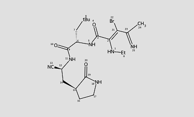 CCN/C(C(=O)N[C@@H](CC(C)(C)C)C(=O)N[C@H](C#N)C[C@@H]1CCNC1=O)=C(/Br)C(C)=N